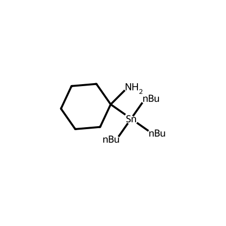 CCC[CH2][Sn]([CH2]CCC)([CH2]CCC)[C]1(N)CCCCC1